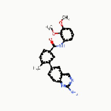 COc1cccc(NC(=O)c2ccc(C)c(-c3ccc4nc(N)ncc4c3)c2)c1OC